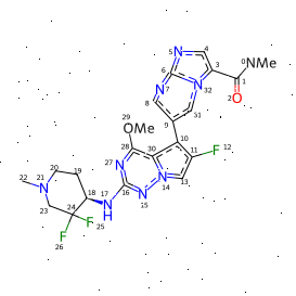 CNC(=O)c1cnc2ncc(-c3c(F)cn4nc(N[C@@H]5CCN(C)CC5(F)F)nc(OC)c34)cn12